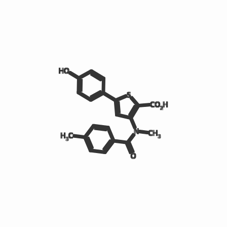 Cc1ccc(C(=O)N(C)c2cc(-c3ccc(O)cc3)sc2C(=O)O)cc1